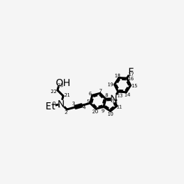 CCN(CC#Cc1ccc2c(ccn2-c2ccc(F)cc2)c1)CCO